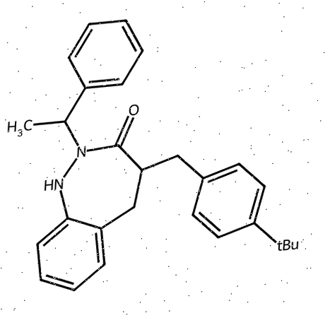 CC(c1ccccc1)N1Nc2ccccc2CC(Cc2ccc(C(C)(C)C)cc2)C1=O